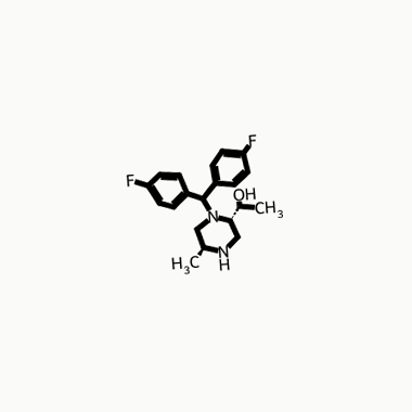 CC(O)[C@@H]1CN[C@@H](C)CN1C(c1ccc(F)cc1)c1ccc(F)cc1